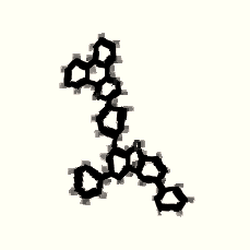 c1ccc(-c2ccc3oc4c(-c5ccc(-c6cnc7c8ccccc8c8ccccc8c7n6)cc5)cc(-c5ccccc5)cc4c3c2)cc1